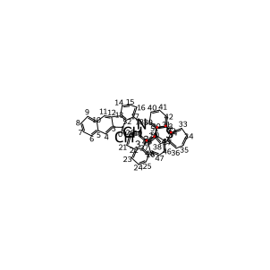 CC1(C)c2cc3ccccc3cc2-c2cccc(N(c3ccc4ccccc4c3-c3ccc4ccccc4c3)c3cccc4sc5ccccc5c34)c21